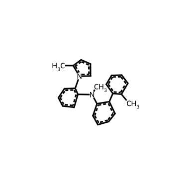 Cc1ccccc1-c1ccccc1N(C)c1ccccc1-n1cccc1C